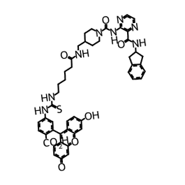 O=C(CCCCCNC(=S)Nc1ccc(C(=O)O)c(-c2c3ccc(=O)cc-3oc3cc(O)ccc23)c1)NCC1CCN(C(=O)Nc2nccnc2C(=O)NC2Cc3ccccc3C2)CC1